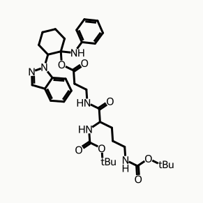 CC(C)(C)OC(=O)NCCCC(NC(=O)OC(C)(C)C)C(=O)NCCC(=O)OC1(Nc2ccccc2)CCCCC1n1ncc2ccccc21